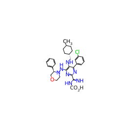 C[C@H]1CC[C@H](CNc2c(NN3CCOC[C@H]3c3ccccc3)nc(C(=N)NC(=O)O)nc2-c2cccc(Cl)c2)CC1